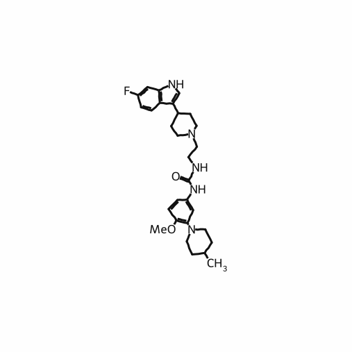 COc1ccc(NC(=O)NCCN2CCC(c3c[nH]c4cc(F)ccc34)CC2)cc1N1CCC(C)CC1